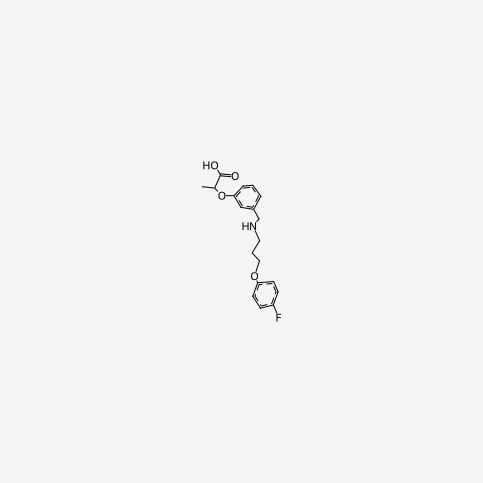 CC(Oc1cccc(CNCCCOc2ccc(F)cc2)c1)C(=O)O